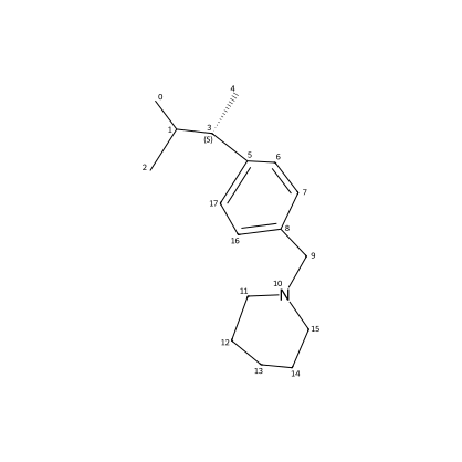 CC(C)[C@H](C)c1ccc(CN2CCCCC2)cc1